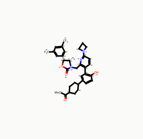 COC(=O)C1CCC(c2ccc(O)c(-c3ccc(N4CCC4)nc3CN3C(=O)O[C@H](c4cc(C(F)(F)F)cc(C(F)(F)F)c4)[C@@H]3C)c2)CC1